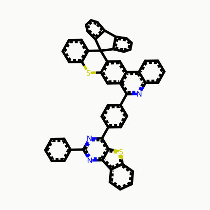 c1ccc(-c2nc(-c3ccc(-c4nc5ccccc5c5cc6c(cc45)Sc4ccccc4C64c5ccccc5-c5ccccc54)cc3)c3sc4ccccc4c3n2)cc1